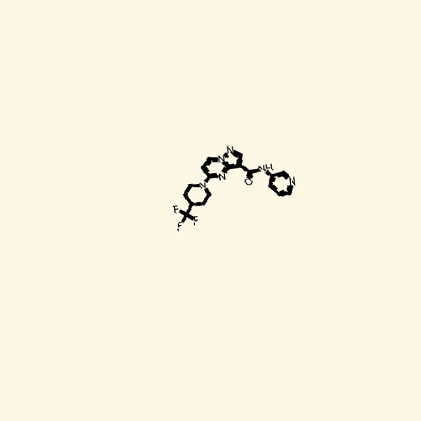 O=C(Nc1cccnc1)c1cnn2ccc(N3CCC(C(F)(F)F)CC3)nc12